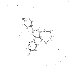 Fc1ccc(-c2nc(N3CCNCC3)nc3c2CCCCCC3)cc1